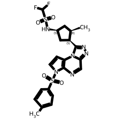 Cc1ccc(S(=O)(=O)n2ccc3c2ncc2nnc([C@H]4C[C@@H](NS(=O)(=O)C(F)F)C[C@H]4C)n23)cc1